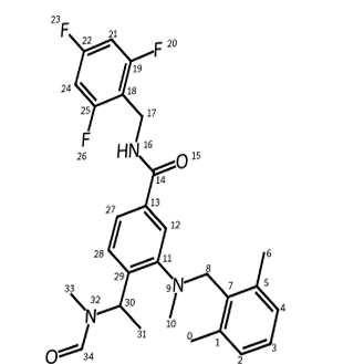 Cc1cccc(C)c1CN(C)c1cc(C(=O)NCc2c(F)cc(F)cc2F)ccc1C(C)N(C)C=O